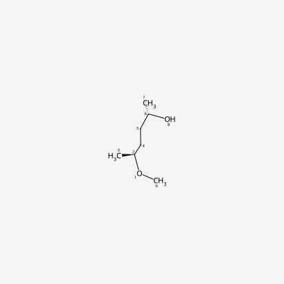 CO[C@@H](C)CC[C@H](C)O